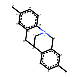 Cc1ccc2c(c1)CN1CC2Cc2cc(C)ccc21